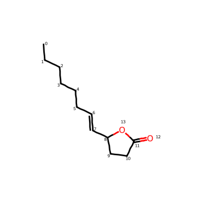 CCCCCC/C=C/C1CCC(=O)O1